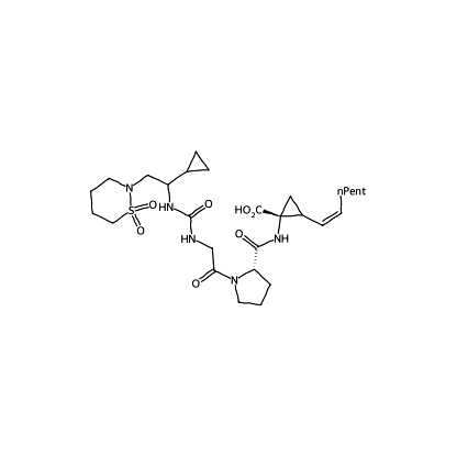 CCCCC/C=C\C1C[C@]1(NC(=O)[C@@H]1CCCN1C(=O)CNC(=O)NC(CN1CCCCS1(=O)=O)C1CC1)C(=O)O